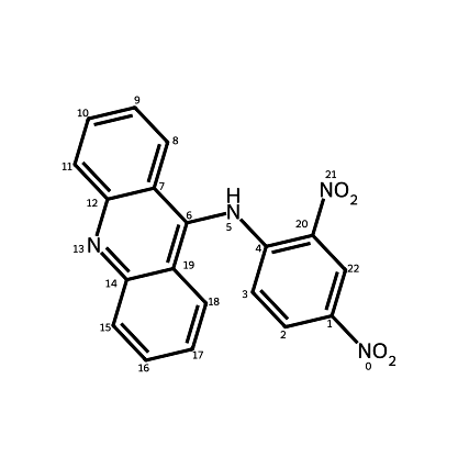 O=[N+]([O-])c1ccc(Nc2c3ccccc3nc3ccccc23)c([N+](=O)[O-])c1